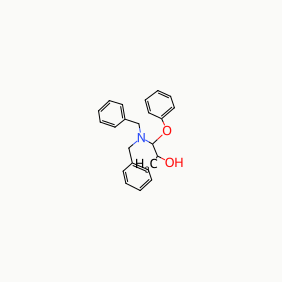 CC(O)C(Oc1ccccc1)N(Cc1ccccc1)Cc1ccccc1